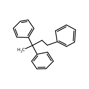 CC(CCc1ccccc1)(c1ccccc1)c1ccccc1